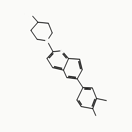 O=C(O)C1CCN(c2ccc3cc(-c4ccc(F)c(Cl)c4)ccc3n2)CC1